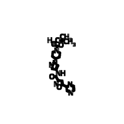 CC(C)(C)OC(=O)N1CCC(n2cc(NC(=O)c3cc(-c4cnccn4)on3)cn2)CC1